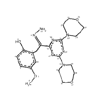 COc1ccc(O)c(C(=NN)c2nc(N3CCOCC3)nc(N3CCOCC3)n2)c1